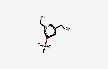 CC(C)Cc1ccc[n+](CC(C)C)c1.F[B-](F)(F)F